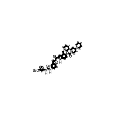 CC(C)(C)c1cc(NC(O)Nc2ccc3oc(C(=O)c4cc5c(CN6CCCCC6)c(OC(=O)N6CCC(N7CCCCC7)CC6)ccc5[nH]4)cc3c2)no1